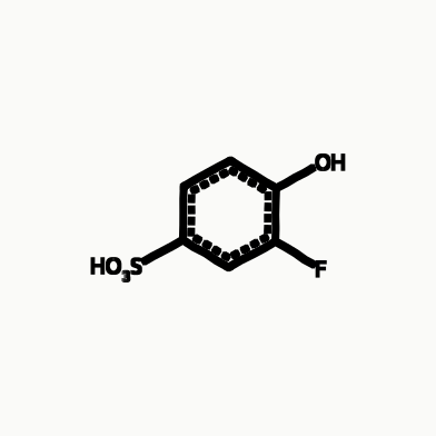 O=S(=O)(O)c1ccc(O)c(F)c1